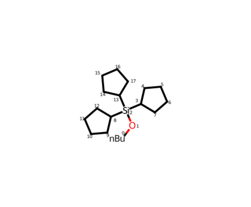 CCCCO[Si](C1CCCC1)(C1CCCC1)C1CCCC1